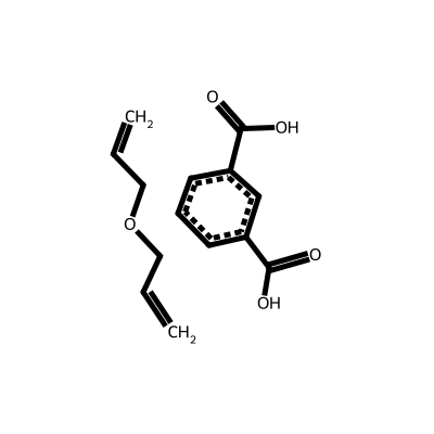 C=CCOCC=C.O=C(O)c1cccc(C(=O)O)c1